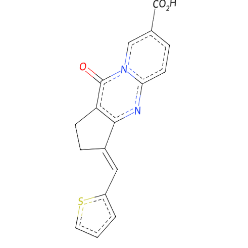 O=C(O)c1ccc2nc3c(c(=O)n2c1)CCC3=Cc1cccs1